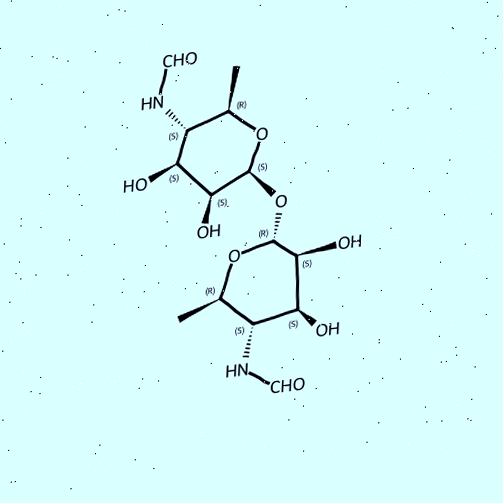 C[C@H]1O[C@@H](O[C@H]2O[C@H](C)[C@@H](NC=O)[C@H](O)[C@@H]2O)[C@@H](O)[C@@H](O)[C@@H]1NC=O